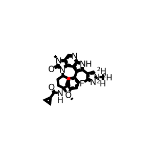 [2H]C([2H])([2H])n1cc(-c2[nH]c3ncc4c(c3c2-c2ccc(OC)cc2)n(C2CCC(C)(NC(=O)C3CC3)CC2)c(=O)n4C)c(F)n1